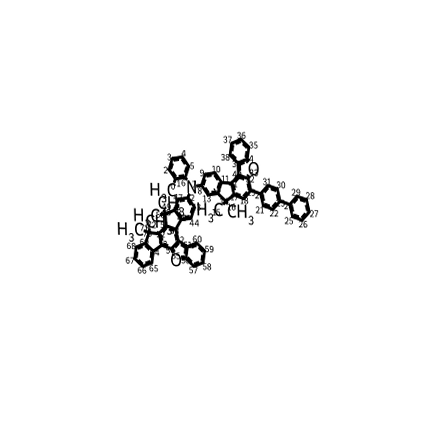 Cc1ccccc1N(c1ccc2c(c1)C(C)(C)c1cc(-c3ccc(-c4ccccc4)cc3)c3oc4ccccc4c3c1-2)c1ccc2c(c1)C(C)(C)c1c3c(c4oc5ccccc5c4c1-2)-c1ccccc1C3(C)C